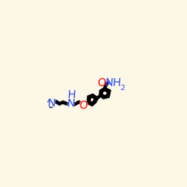 CN(C)CCCCNCCOc1ccc(-c2cccc(C(N)=O)c2)cc1